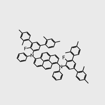 Cc1ccc(-c2cc(-c3ccc(C)cc3C)c(F)c(N(c3ccccc3)c3ccc4ccc5c(N(c6ccccc6)c6cc(-c7ccc(C)cc7C)cc(-c7ccc(C)cc7C)c6F)ccc6ccc3c4c65)c2)c(C)c1